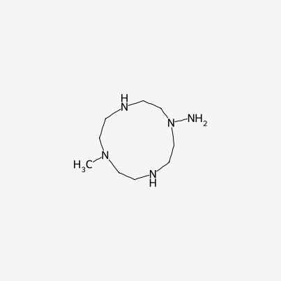 CN1CCNCCN(N)CCNCC1